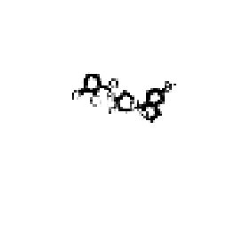 O=C(NC1CCN(c2nccc3cc(Br)ccc23)CC1)c1cccc(Cl)c1Cl